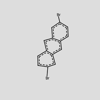 Brc1ccc2cc3cc(Br)ccc3cc2c1